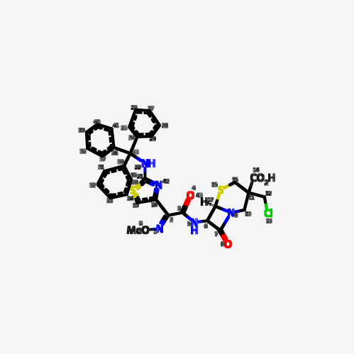 CON=C(C(=O)NC1C(=O)N2CC(CCl)(C(=O)O)CS[C@H]12)c1csc(NC(c2ccccc2)(c2ccccc2)c2ccccc2)n1